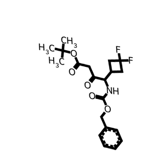 CC(C)(C)OC(=O)CC(=O)C(NC(=O)OCc1ccccc1)C1CC(F)(F)C1